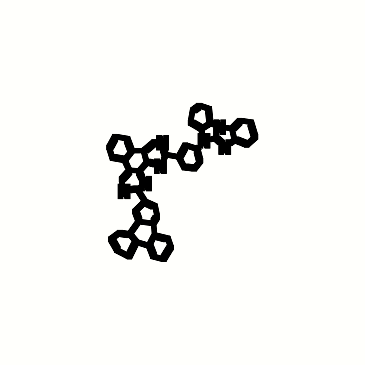 c1cc(-c2ncc3c4ccccc4c4cnc(-c5ccc6c7ccccc7c7ccccc7c6c5)nc4c3n2)cc(-n2c3ccccc3n3c4ccccc4nc23)c1